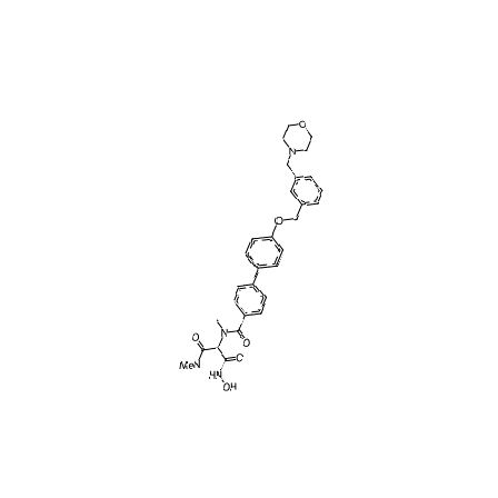 CNC(=O)C(C(=O)NO)N(C)C(=O)c1ccc(-c2ccc(OCc3cccc(CN4CCOCC4)c3)cc2)cc1